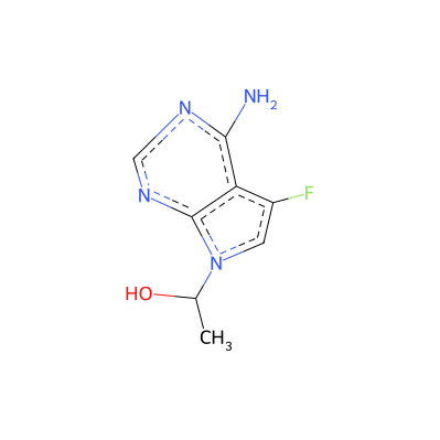 CC(O)n1cc(F)c2c(N)ncnc21